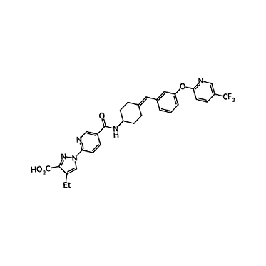 CCc1cn(-c2ccc(C(=O)NC3CCC(=Cc4cccc(Oc5ccc(C(F)(F)F)cn5)c4)CC3)cn2)nc1C(=O)O